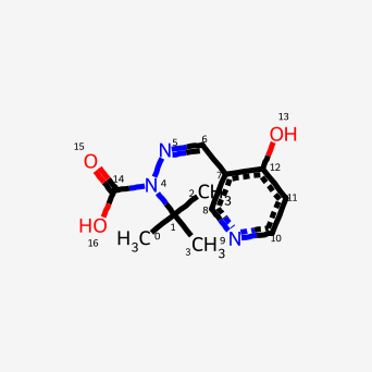 CC(C)(C)N(/N=C\c1cnccc1O)C(=O)O